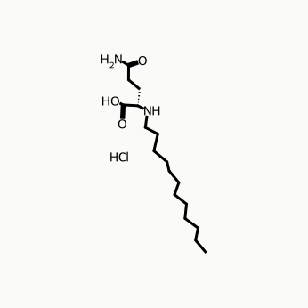 CCCCCCCCCCCCN[C@@H](CCC(N)=O)C(=O)O.Cl